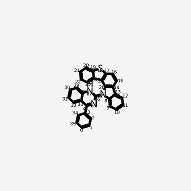 c1ccc(C2=NC(n3c4ccccc4c4ccc5sc6ccccc6c5c43)Nc3ccccc32)cc1